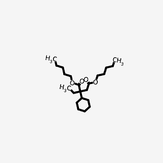 CCCCCOC(=O)CC(CC)(C(=O)OCCCCC)C1CCCCC1